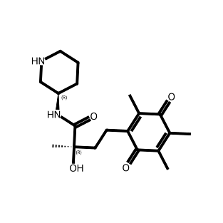 CC1=C(C)C(=O)C(CC[C@@](C)(O)C(=O)N[C@@H]2CCCNC2)=C(C)C1=O